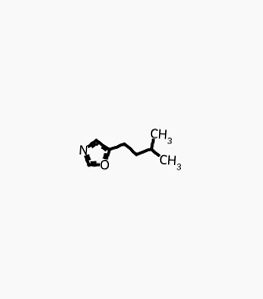 CC(C)CCc1cnco1